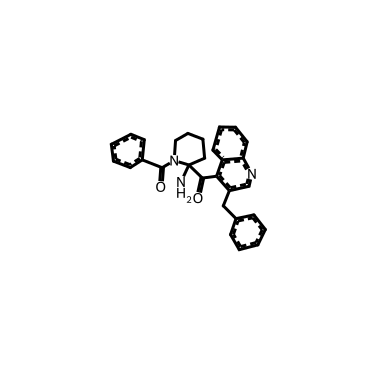 NC1(C(=O)c2c(Cc3ccccc3)cnc3ccccc23)CCCCN1C(=O)c1ccccc1